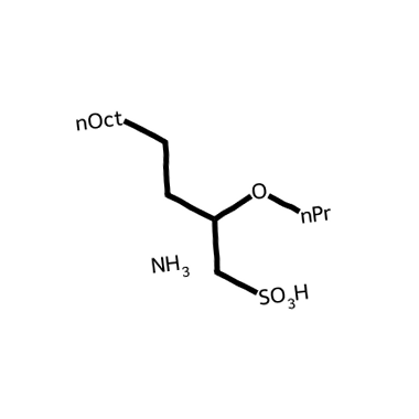 CCCCCCCCCCC(CS(=O)(=O)O)OCCC.N